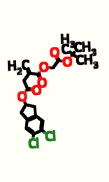 C=C(CC(=O)OC1Cc2cc(Cl)c(Cl)cc2C1)C(=O)OCC(=O)OC(C)(C)C